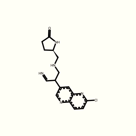 N=CC(CNC[C@H]1CCC(=O)N1)c1cnc2ccc(Cl)nc2c1